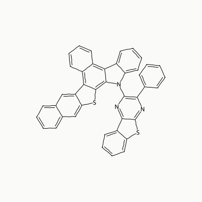 c1ccc(-c2nc3sc4ccccc4c3nc2-n2c3ccccc3c3c4ccccc4c4c5cc6ccccc6cc5sc4c32)cc1